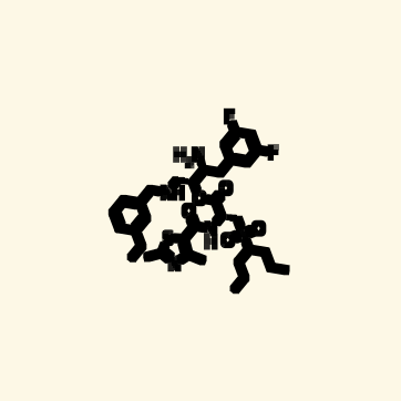 CCCC(CCC)S(=O)(=O)C[C@H](NC(=O)c1sc(C)nc1C)C(=O)O[C@H](CNCc1cccc(CC)c1)[C@@H](N)Cc1cc(F)cc(F)c1